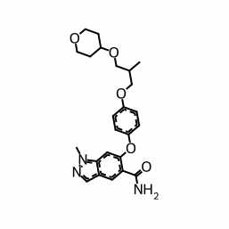 CC(COc1ccc(Oc2cc3c(cnn3C)cc2C(N)=O)cc1)COC1CCOCC1